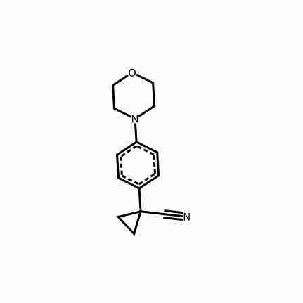 N#CC1(c2ccc(N3CCOCC3)cc2)CC1